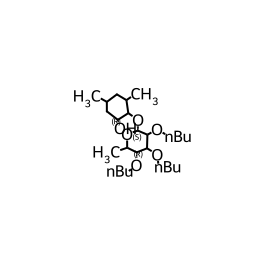 CCCCOC1C(OCCCC)[C@H](OCCCC)C(C)O[C@H]1OC1C(C)CC(C)C[C@H]1O